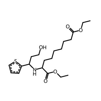 CCOC(=O)CCCCCCC(NC(CCO)c1cccs1)C(=O)OCC